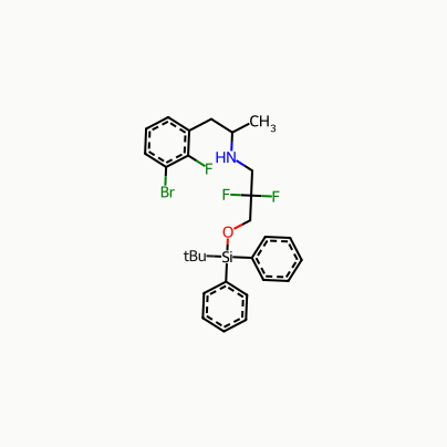 CC(Cc1cccc(Br)c1F)NCC(F)(F)CO[Si](c1ccccc1)(c1ccccc1)C(C)(C)C